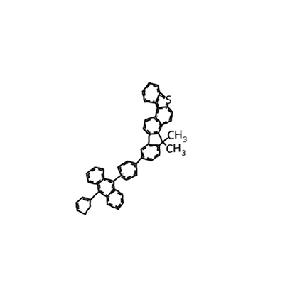 CC1(C)c2ccc(-c3ccc(-c4c5ccccc5c(C5=CC=CCC5)c5ccccc45)cc3)cc2-c2ccc3c(ccc4sc5ccccc5c43)c21